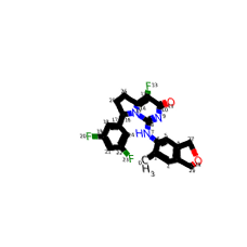 Cc1cc2c(cc1Nc1nc(=O)c(F)c3n1C(c1cc(F)cc(F)c1)CC3)COC2